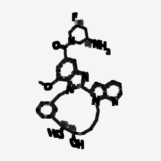 COc1cc(C(=O)N2C[C@H](N)C[C@@H](F)C2)cc2nc3n(c12)Cc1cccc(c1)[C@H](O)[C@H](O)CCCCn1c-3cc2cccnc21